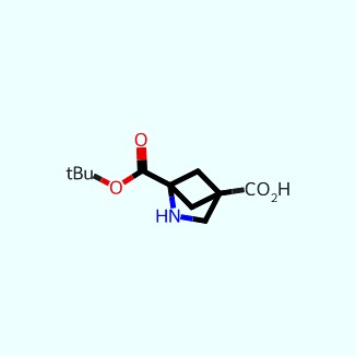 CC(C)(C)OC(=O)C12CC(C(=O)O)(CN1)C2